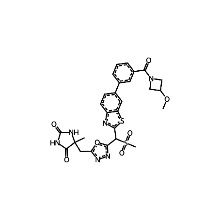 COC1CN(C(=O)c2cccc(-c3ccc4nc(C(c5nnc(CC6(C)NC(=O)NC6=O)o5)S(C)(=O)=O)sc4c3)c2)C1